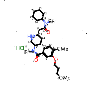 COCCCOc1cc(C(=O)N(C(C)C)[C@@H]2CC[C@H](CC(=O)N(C(C)C)C3CCCCC3)NC2)ccc1OC.Cl